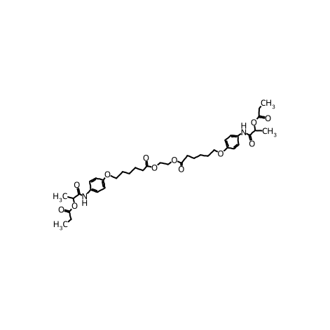 CCC(=O)OC(C)C(=O)Nc1ccc(OCCCCCC(=O)OCCOC(=O)CCCCCOc2ccc(NC(=O)C(C)OC(=O)CC)cc2)cc1